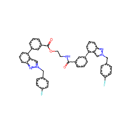 O=C(NCCOC(=O)c1cccc(-c2cccc3nn(Cc4ccc(F)cc4)cc23)c1)c1cccc(-c2cccc3nn(Cc4ccc(F)cc4)cc23)c1